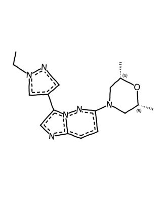 CCn1cc(-c2cnc3ccc(N4C[C@@H](C)O[C@@H](C)C4)nn23)cn1